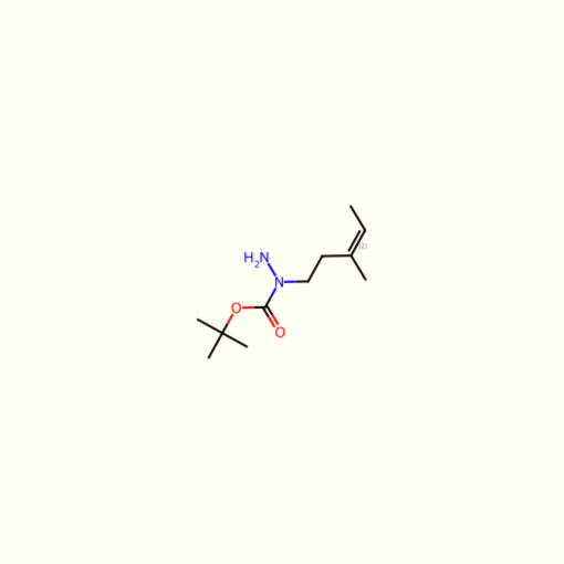 C/C=C(/C)CCN(N)C(=O)OC(C)(C)C